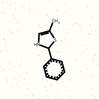 CC1=CN[C](c2ccccc2)S1